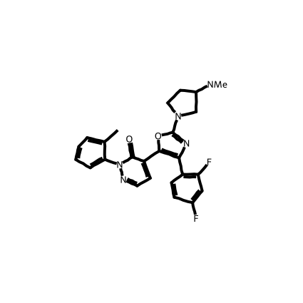 CNC1CCN(c2nc(-c3ccc(F)cc3F)c(-c3ccnn(-c4ccccc4C)c3=O)o2)C1